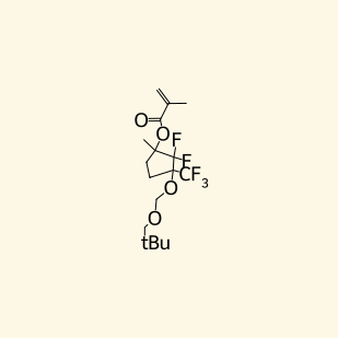 C=C(C)C(=O)OC1(C)CCC(OCOCC(C)(C)C)(C(F)(F)F)C1(F)F